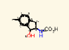 Cc1ccc2c(c1)C(O)C(NC(=O)O)C2